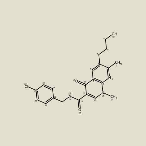 Cc1nc2c(cc1CCCO)c(=O)c(C(=O)NCc1ccc(Cl)cc1)cn2C